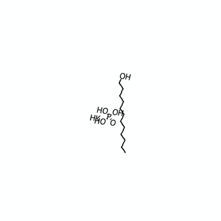 CCCCCCCCCCCCO.O=P(O)(O)O.[KH]